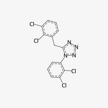 Clc1cccc(Cc2nnnn2-c2cccc(Cl)c2Cl)c1Cl